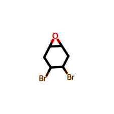 BrC1CC2OC2CC1Br